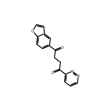 O=C(CCC(=O)c1cccnn1)c1ccc2occc2c1